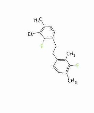 CCc1c(C)ccc(CCc2ccc(C)c(F)c2C)c1F